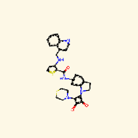 O=C(Nc1ccc2c(c1)N(c1c(N3CCSCC3)c(=O)c1=O)CC2)c1sccc1NCc1ccnc2ccccc12